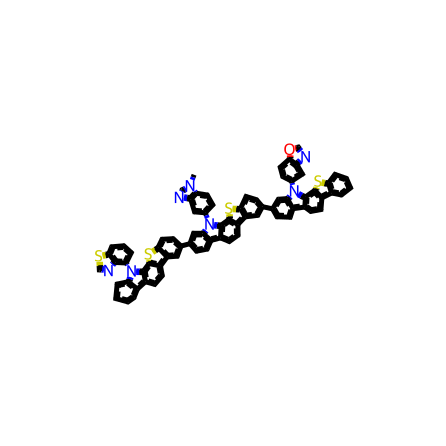 Cn1cnc2cc(-n3c4cc(-c5ccc6sc7c(ccc8c9ccccc9n(-c9cccc%10scnc9%10)c87)c6c5)ccc4c4ccc5c6cc(-c7ccc8c9ccc%10c%11ccccc%11sc%10c9n(-c9ccc%10ocnc%10c9)c8c7)ccc6sc5c43)ccc21